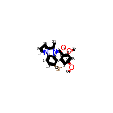 COc1ccc(C(=O)N2c3cc(Br)ccc3-n3cccc3C2C)c(OC)c1